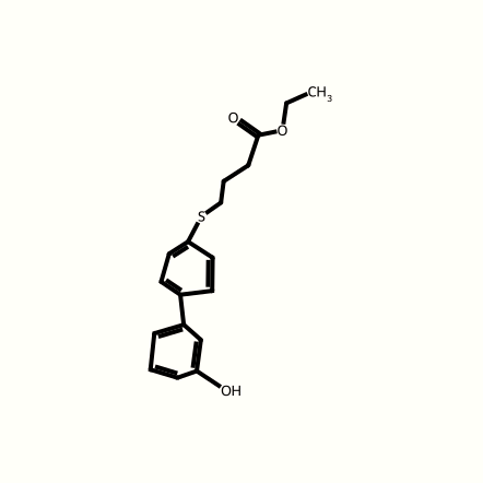 CCOC(=O)CCCSc1ccc(-c2cccc(O)c2)cc1